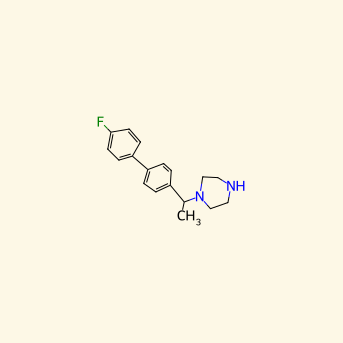 CC(c1ccc(-c2ccc(F)cc2)cc1)N1CCNCC1